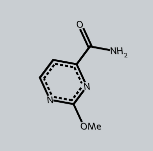 COc1nccc(C(N)=O)n1